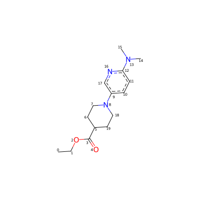 CCOC(=O)C1CCN(c2ccc(N(C)C)nc2)CC1